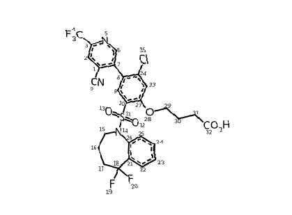 N#Cc1cc(C(F)(F)F)ncc1-c1cc(S(=O)(=O)N2CCCC(F)(F)c3ccccc32)c(OCCCC(=O)O)cc1Cl